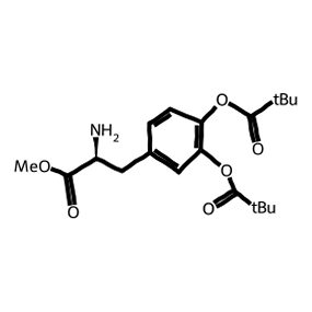 COC(=O)[C@@H](N)Cc1ccc(OC(=O)C(C)(C)C)c(OC(=O)C(C)(C)C)c1